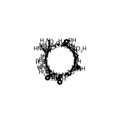 CCCC[C@H]1C(=O)N(C)[C@@H](CCCC)C(=O)N[C@@H](CCCNC(=N)N)C(=O)N[C@H](C(=O)NCC(N)=O)CSCC(=O)N[C@@H](Cc2ccc(O)cc2)C(=O)N(C)[C@@H](C)C(=O)N[C@@H](CC(=O)O)C(=O)N2CCC[C@H]2C(=O)N[C@@H](Cc2c[nH]cn2)C(=O)N[C@@H](CC(C)C)C(=O)N2CCC[C@H]2C(=O)N[C@@H](Cc2c[nH]c3ccccc23)C(=O)N[C@@H](CO)C(=O)N[C@@H]([C@@H](C)c2c[nH]c3ccccc23)C(=O)N1C